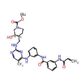 C=CC(=O)Nc1cccc(C(=O)Nc2cccc(Nc3nc(NC[C@@H]4CCN(C(=O)OC(C)(C)C)C[C@@H]4O)ncc3C(F)(F)F)c2)c1